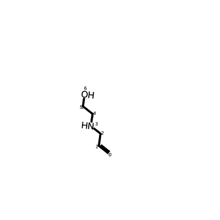 C=CCNC[CH]O